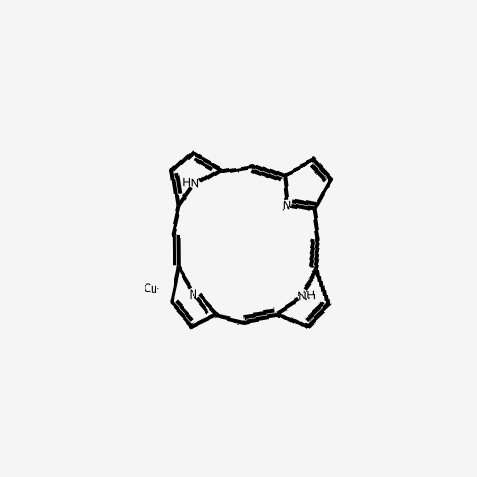 C1=Cc2cc3ccc(cc4nc(cc5ccc(cc1n2)[nH]5)C=C4)[nH]3.[Cu]